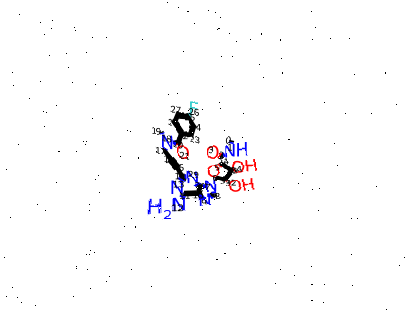 CNC(=O)[C@H]1O[C@@H](n2cnc3c(N)nc(C#CCN(C)C(=O)c4ccc(F)cc4)nc32)C(O)[C@@H]1O